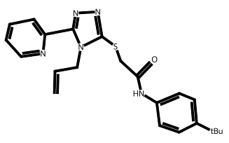 C=CCn1c(SCC(=O)Nc2ccc(C(C)(C)C)cc2)nnc1-c1ccccn1